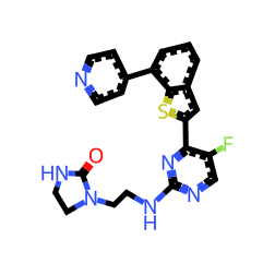 O=C1NCCN1CCNc1ncc(F)c(-c2cc3cccc(-c4ccncc4)c3s2)n1